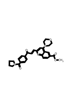 COC(=O)c1ccc2nc(/C=C/C(=O)c3ccc(C(=O)N4CCCC4)cc3)cc(N3CCOCC3)c2c1